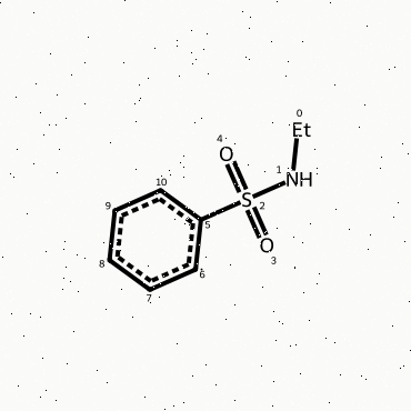 CCNS(=O)(=O)c1[c]cccc1